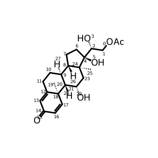 CC(=O)OC[C@@H](O)[C@@]1(O)CC[C@H]2[C@@H]3CCC4=CC(=O)C=C[C@]4(C)[C@H]3[C@@H](O)C[C@@]21C